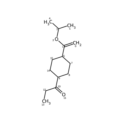 C=C(OC(C)C)C1CCC(C(=O)CC)CC1